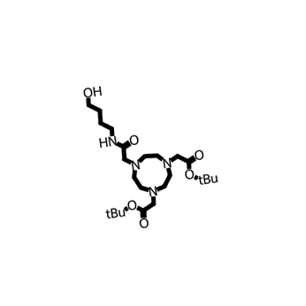 CC(C)(C)OC(=O)CN1CCN(CC(=O)NCCCCO)CCN(CC(=O)OC(C)(C)C)CC1